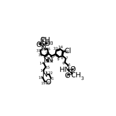 CS(=O)(=O)NCCCc1cc(-c2nn(CCCN3CCOCC3)c3c2CN(S(C)(=O)=O)CC3)ccc1Cl